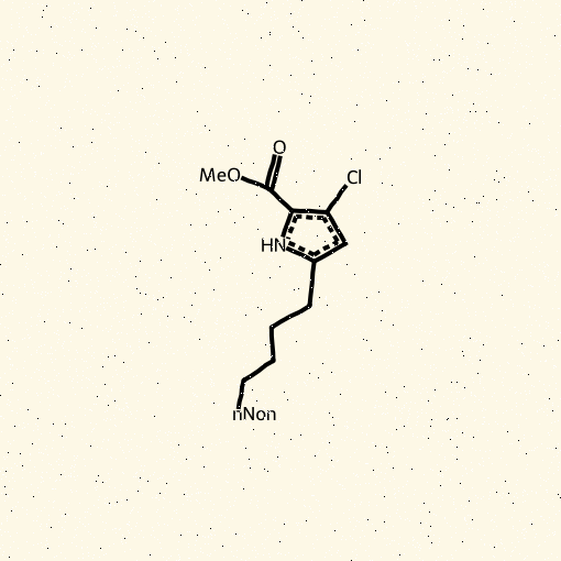 CCCCCCCCCCCCCc1cc(Cl)c(C(=O)OC)[nH]1